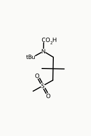 CC(C)(CN(C(=O)O)C(C)(C)C)CS(C)(=O)=O